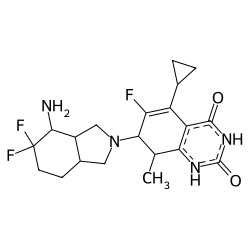 CC1c2[nH]c(=O)[nH]c(=O)c2C(C2CC2)=C(F)C1N1CC2CCC(F)(F)C(N)C2C1